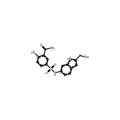 NC(=O)c1cc(S(=O)(=O)Nc2ccc3cc(CO)[nH]c3c2)ccc1O